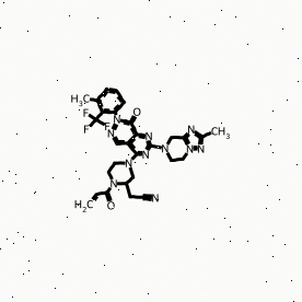 C=CC(=O)N1CCN(c2nc(N3CCn4nc(C)nc4C3)nc3c(=O)n(-c4cccc(C)c4C(F)(F)F)ncc23)CC1CC#N